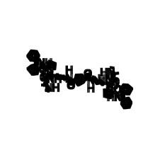 CN[C@@H](C)C(=O)N[C@@H](CCCCNC(=O)c1ccc(C(=O)NCCCC[C@H](NC(=O)[C@H](C)NC)C(=O)N2CCC[C@H]2C(=O)NC(c2ccccc2)c2ccccc2)cc1)C(=O)N1CCC[C@H]1C(=O)NC(c1ccccc1)c1ccccc1